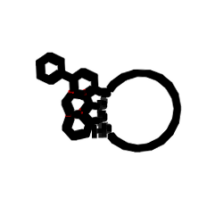 c1ccc(-c2ccc(P3CCCCCCCCCCCCCCCPP(c4ccccc4)P3c3ccccc3)cc2)cc1